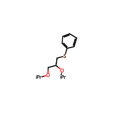 CC(C)OCC(CSc1ccccc1)OC(C)C